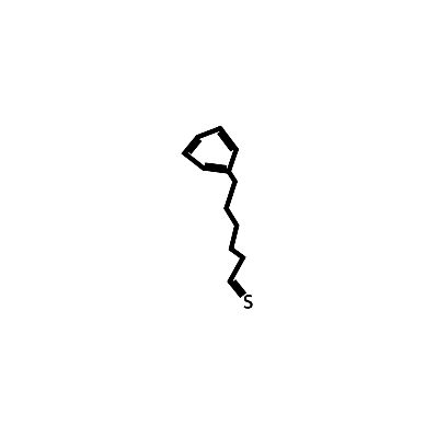 S=CCCCCCc1ccccc1